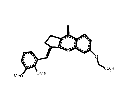 COc1cccc(C=C2CCc3c2oc2cc(OCC(=O)O)ccc2c3=O)c1OC